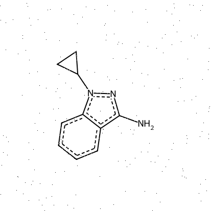 Nc1nn(C2CC2)c2ccccc12